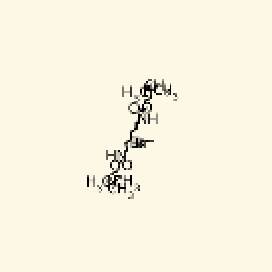 C[N+](C)(C)CCOC(=O)NCCCCCCNC(=O)OCC[N+](C)(C)C.[Br-].[Br-]